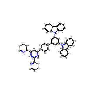 C1=CC2c3ccccc3N(c3cc(-c4ccc(-c5cc(C6=CCCC=N6)nc(C6=NC=CCC6)n5)cc4)cc(-n4c5ccccc5c5ccccc54)c3)C2C=C1